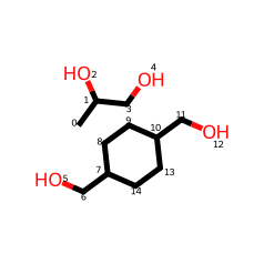 CC(O)CO.OCC1CCC(CO)CC1